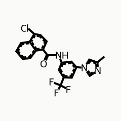 Cc1cn(-c2cc(NC(=O)c3ccc(Cl)c4ccccc34)cc(C(F)(F)F)c2)cn1